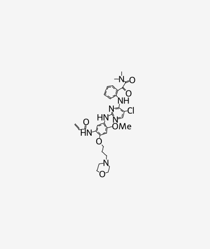 C=CC(=O)Nc1cc(Nc2ncc(Cl)c(Nc3ccccc3C(=O)C(=O)N(C)C)n2)c(OC)cc1OCCCN1CCOCC1